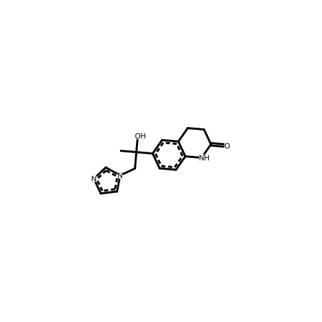 CC(O)(Cn1ccnc1)c1ccc2c(c1)CCC(=O)N2